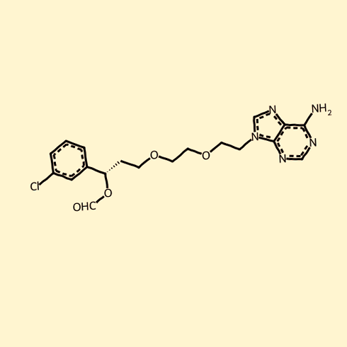 Nc1ncnc2c1ncn2CCOCCOCC[C@H](OC=O)c1cccc(Cl)c1